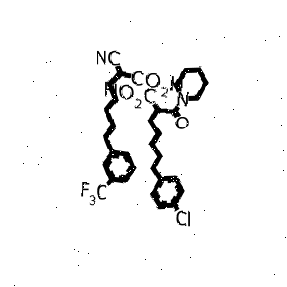 N#CC(CCCCCc1cccc(C(F)(F)F)c1)C(=O)O.O=C(O)C(CCCCCc1ccc(Cl)cc1)C(=O)N1CCCCC1